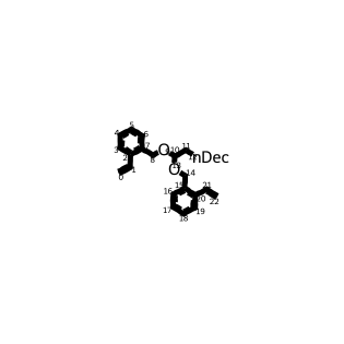 C=Cc1ccccc1COC(CCCCCCCCCCC)OCc1ccccc1C=C